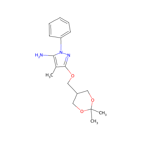 Cc1c(OCC2COC(C)(C)OC2)nn(-c2ccccc2)c1N